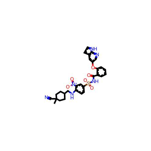 CC1(C#N)CCC(CNc2ccc(S(=O)(=O)NC(=O)c3ccccc3Oc3cnc4[nH]ccc4c3)cc2[N+](=O)[O-])CC1